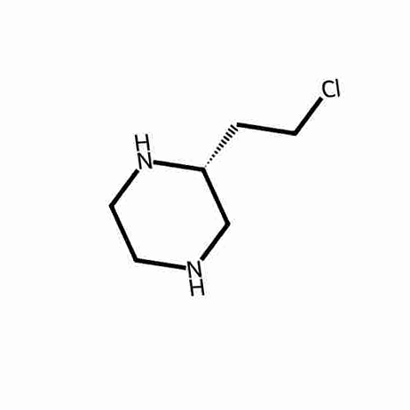 ClCC[C@@H]1CNCCN1